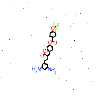 Nc1cc(N)cc(CCC(=Cc2ccc(OC(=O)c3ccc(OC(F)(F)F)cc3)cc2)C(=O)O)c1